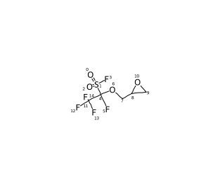 O=S(=O)(F)C(F)(OCC1CO1)C(F)(F)F